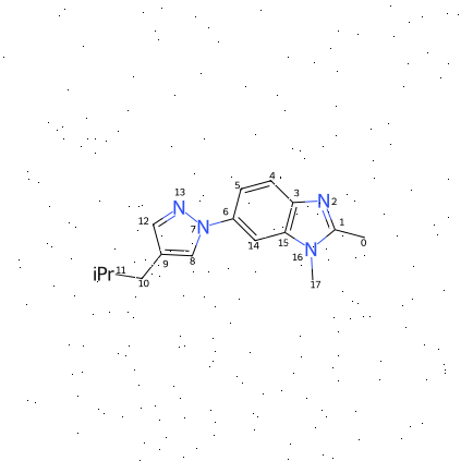 Cc1nc2ccc(-n3cc(CC(C)C)cn3)cc2n1C